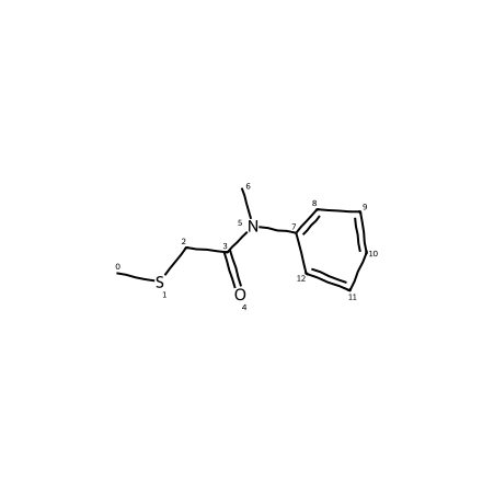 CSCC(=O)N(C)c1ccccc1